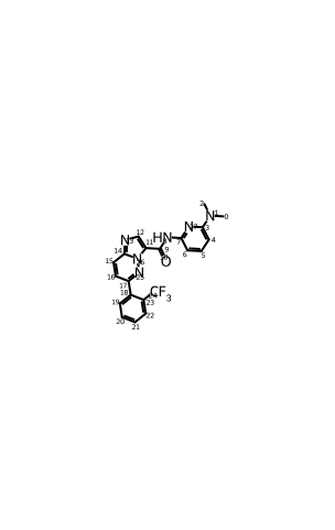 CN(C)c1cccc(NC(=O)c2cnc3ccc(-c4ccccc4C(F)(F)F)nn23)n1